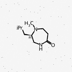 CC(C)C[C@@H]1CNC(=O)CCN1C